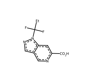 CCC(F)(F)n1ncc2cnc(C(=O)O)cc21